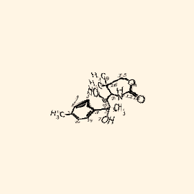 Cc1ccc([C@](C)(O)[C@@H](O)C2NC(=O)OCC2(C)C)cc1